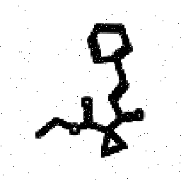 CCOC(=O)C1(C(=O)C=Cc2ccccc2)CC1